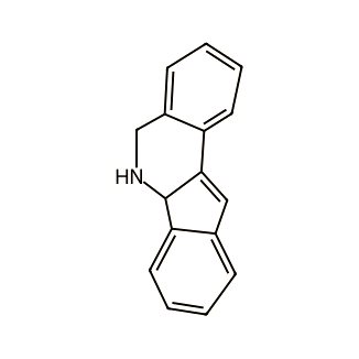 C1=C2c3ccccc3CNC2c2ccccc21